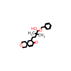 CC(C)(CCC1CC2(C=CC1=O)CCOCC2)[C@@H](O)OCc1ccccc1